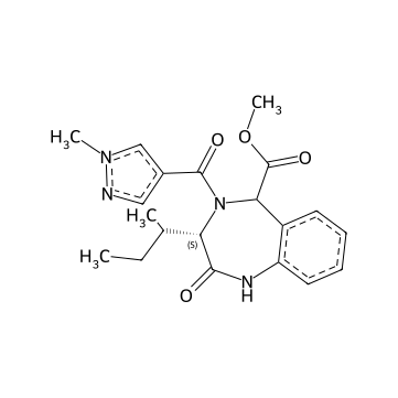 CCC(C)[C@H]1C(=O)Nc2ccccc2C(C(=O)OC)N1C(=O)c1cnn(C)c1